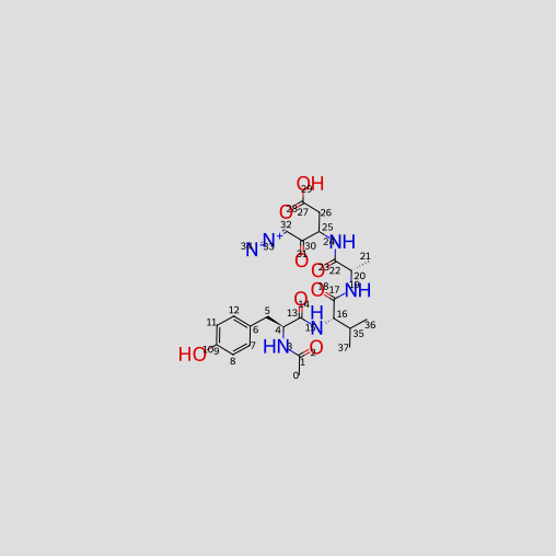 CC(=O)N[C@@H](Cc1ccc(O)cc1)C(=O)N[C@H](C(=O)N[C@@H](C)C(=O)NC(CC(=O)O)C(=O)C=[N+]=[N-])C(C)C